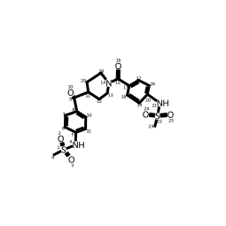 CS(=O)(=O)Nc1ccc(C(=O)C2CCN(C(=O)c3ccc(NS(C)(=O)=O)cc3)CC2)cc1